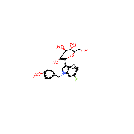 OC[C@H]1O[C@@H](c2cn(Cc3ccc(O)cc3)c3cc(F)ccc23)[C@H](O)[C@@H](O)[C@@H]1O